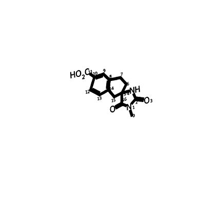 CN1C(=O)NC2(CCc3cc(C(=O)O)ccc3C2)C1=O